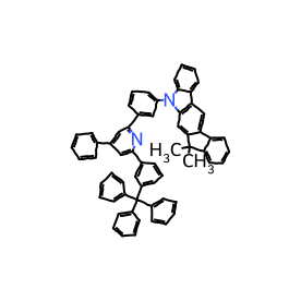 CC1(C)c2ccccc2-c2cc3c4ccccc4n(-c4cccc(-c5cc(-c6ccccc6)cc(-c6cccc(C(c7ccccc7)(c7ccccc7)c7ccccc7)c6)n5)c4)c3cc21